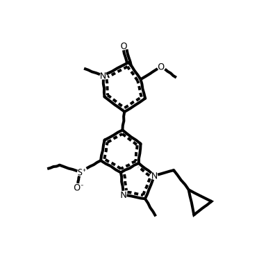 CC[S+]([O-])c1cc(-c2cc(OC)c(=O)n(C)c2)cc2c1nc(C)n2CC1CC1